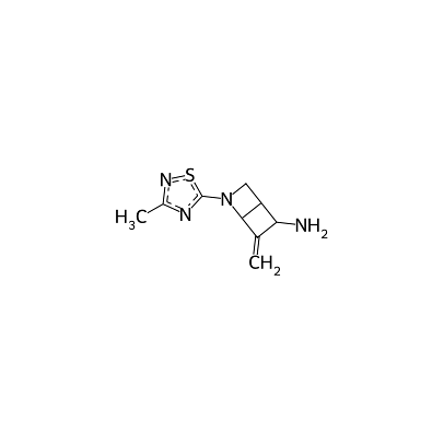 C=C1C(N)C2CN(c3nc(C)ns3)C12